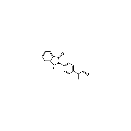 CC(C=O)c1ccc(N2C(=O)c3ccccc3C2I)cc1